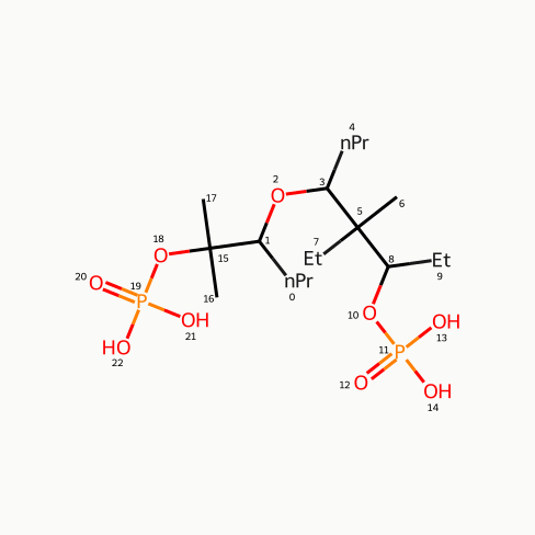 CCCC(OC(CCC)C(C)(CC)C(CC)OP(=O)(O)O)C(C)(C)OP(=O)(O)O